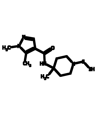 Cc1c(C(=O)NC2(C)CCN(SS)CC2)cnn1C